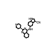 N#Cc1c[nH]c2ccc(Nc3nc(-c4ccncc4)nc4ccccc34)cc12